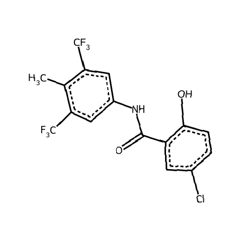 Cc1c(C(F)(F)F)cc(NC(=O)c2cc(Cl)ccc2O)cc1C(F)(F)F